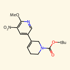 COc1ncc(C2=CCCN(C(=O)OC(C)(C)C)C2)cc1[N+](=O)[O-]